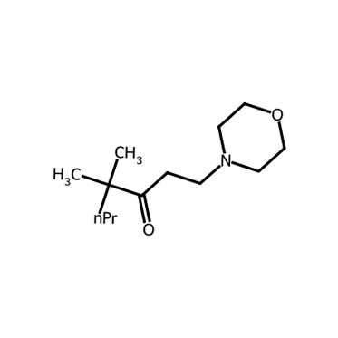 CCCC(C)(C)C(=O)CCN1CCOCC1